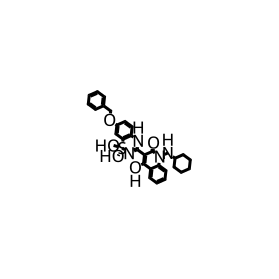 O=c1c(C2=NS(O)(O)c3cc(OCc4ccccc4)ccc3N2)c(O)c2ccccc2n1NC1CCCCC1